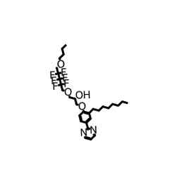 CCCCCCCCc1cc(-c2ncccn2)ccc1OCC(O)COCC(F)(F)C(F)(F)C(F)(F)COCCCC